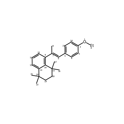 CCOc1ccc(C=C(C)c2cccc3c2C(C)(C)CCC3(C)C)cc1